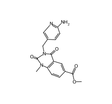 COC(=O)c1ccc2c(c1)c(=O)n(Cc1ccc(N)nc1)c(=O)n2C